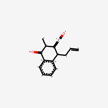 C=CCC1C(=C=O)C(C)C(=O)c2ccccc21